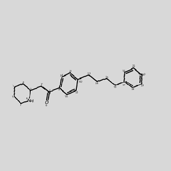 O=C(CC1CCCCN1)c1ccc(CCCCc2ccccc2)cc1